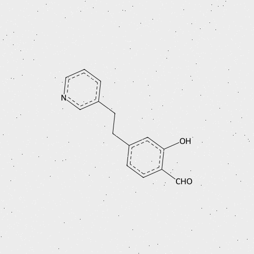 O=Cc1ccc(CCc2cccnc2)cc1O